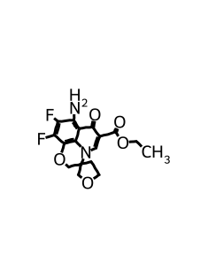 CCOC(=O)c1cn2c3c(c(F)c(F)c(N)c3c1=O)OCC21CCOC1